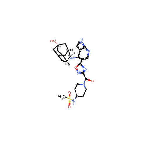 CS(=O)(=O)NC1CCN(C(=O)c2noc(-c3cnc4[nH]ccc4c3N[C@H]3[C@@H]4CC5C[C@H]3C[C@@](O)(C5)C4)n2)CC1